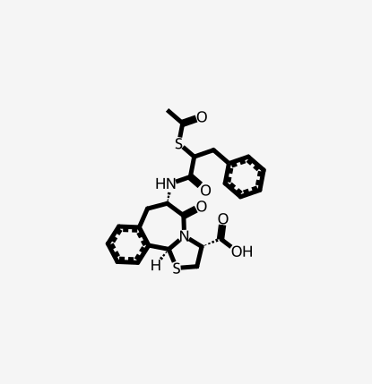 CC(=O)SC(Cc1ccccc1)C(=O)N[C@H]1Cc2ccccc2[C@@H]2SC[C@@H](C(=O)O)N2C1=O